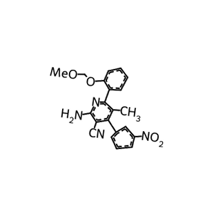 COCOc1ccccc1-c1nc(N)c(C#N)c(-c2cccc([N+](=O)[O-])c2)c1C